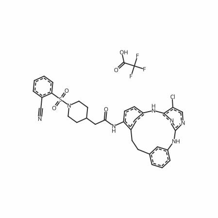 N#Cc1ccccc1S(=O)(=O)N1CCC(CC(=O)Nc2ccc3cc2CCc2cccc(c2)Nc2ncc(Cl)c(n2)N3)CC1.O=C(O)C(F)(F)F